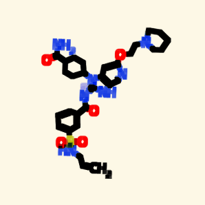 C=CCNS(=O)(=O)c1cccc(C(=O)/N=c2\[nH]c3cnc(OCCN4CCCCC4)cc3n2C2CCC(C(N)=O)CC2)c1